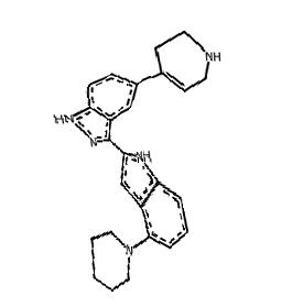 C1=C(c2ccc3[nH]nc(-c4cc5c(N6CCCCC6)cccc5[nH]4)c3c2)CCNC1